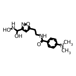 CN(C)c1ccc(C(=O)NCCc2cc(C(O)NO)no2)cc1